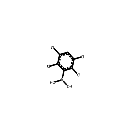 OB(O)c1c(Cl)c(Cl)cc(Cl)c1Cl